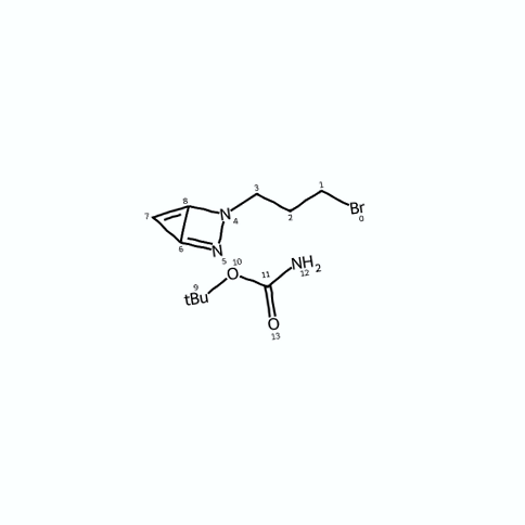 BrCCCn1nc2cc1-2.CC(C)(C)OC(N)=O